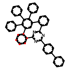 c1ccc(-c2ccc(-c3nc(-c4ccccc4)nc(-c4ccccc4-c4cc(-c5ccccc5)c(-c5ccccc5)c(-c5ccccc5)c4-c4ccccc4)n3)cc2)cc1